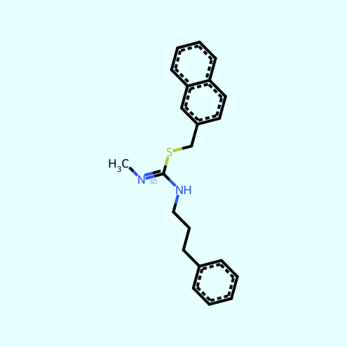 C/N=C(/NCCCc1ccccc1)SCc1ccc2ccccc2c1